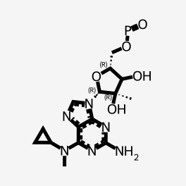 CN(c1nc(N)nc2c1ncn2[C@@H]1O[C@H](COP=O)C(O)[C@@]1(C)O)C1CC1